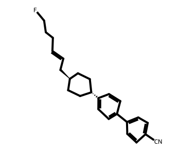 N#Cc1ccc(-c2ccc([C@H]3CC[C@H](CC=CCCCF)CC3)cc2)cc1